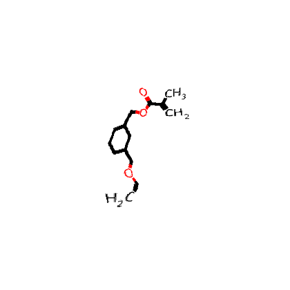 C=COCC1CCCC(COC(=O)C(=C)C)C1